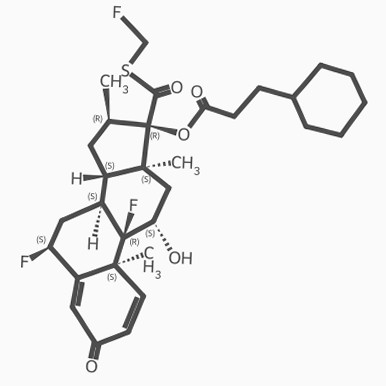 C[C@@H]1C[C@H]2[C@@H]3C[C@H](F)C4=CC(=O)C=C[C@]4(C)[C@@]3(F)[C@@H](O)C[C@]2(C)[C@@]1(OC(=O)CCC1CCCCC1)C(=O)SCF